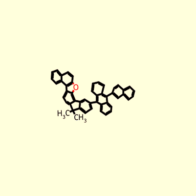 CC1(C)c2ccc(-c3c4ccccc4c(-c4ccc5ccccc5c4)c4ccccc34)cc2-c2c1ccc1c2oc2ccc3ccccc3c21